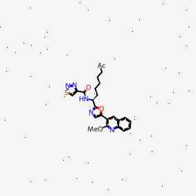 COc1nc2ccccc2cc1-c1cnc([C@H](CCCCCC(C)=O)NC(=O)c2csnn2)o1